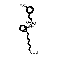 O=C(O)CCCC=CCC1C2C=CC(C2)C1NS(=O)(=O)C=Cc1cccc(C(F)(F)F)c1